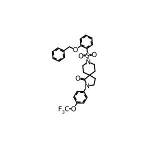 O=C1N(c2ccc(OC(F)(F)F)cc2)CCC12CCN(S(=O)(=O)c1ccccc1OCc1ccccc1)CC2